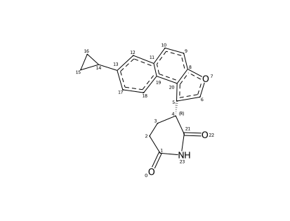 O=C1CC[C@H](c2coc3ccc4cc(C5CC5)ccc4c23)C(=O)N1